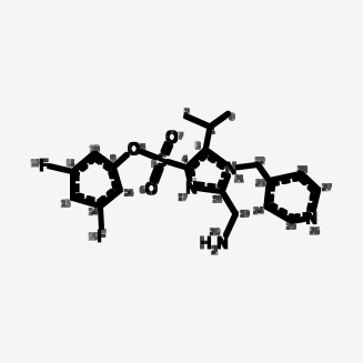 CC(C)c1c(S(=O)(=O)Oc2cc(F)cc(F)c2)nc(CN)n1Cc1ccncc1